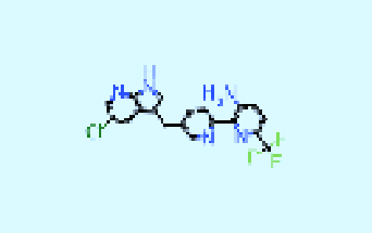 Nc1ccc(C(F)(F)F)nc1-c1ccc(Cc2c[nH]c3ncc(Cl)cc23)cn1